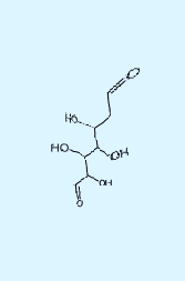 O=CCC(O)C(O)C(O)C(O)C=O